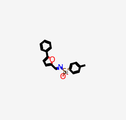 Cc1ccc([S@@+]([O-])N=Cc2ccc(-c3ccccc3)o2)cc1